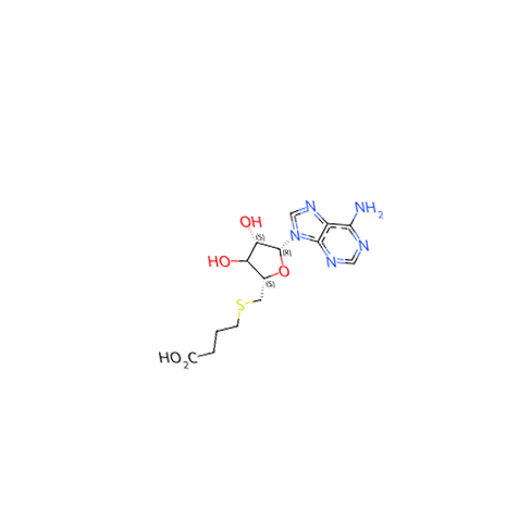 Nc1ncnc2c1ncn2[C@@H]1O[C@H](CSCCCC(=O)O)C(O)[C@@H]1O